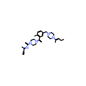 C#C/C(C)=N/C(=C)N1CCN(C(=C)c2cc(CN3CCN(/C(C)=C/CC)CC3)ccc2C)CC1